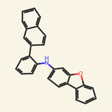 c1ccc(-c2ccc3ccccc3c2)c(Nc2ccc3c(c2)oc2ccccc23)c1